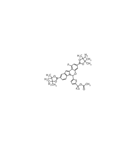 CC(=O)OC1(c2ccc(C3Oc4cc(B5OC(C)(C)C(C)(C)O5)cc(F)c4-c4cc5cc(B6OC(C)(C)C(C)(C)O6)ccc5n43)s2)CC1